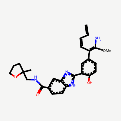 C=C/C=C\C(=C(/N)OC)c1ccc(O)c(-c2nc3cc(C(=O)NCC4(C)CCCO4)ccc3[nH]2)c1